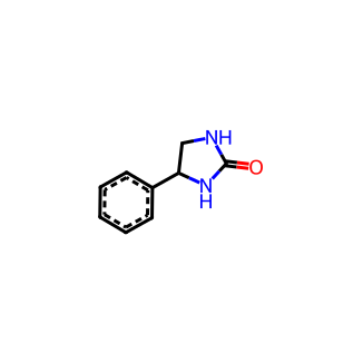 O=C1NCC(c2ccccc2)N1